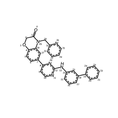 O=C1COc2ccc(-c3ccnc(Nc4cccc(-c5ccccc5)c4)n3)cc2N1Cc1ccccn1